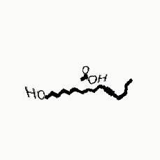 CC(=O)O.CC/C=C\C#CCCCCCCCCCCO